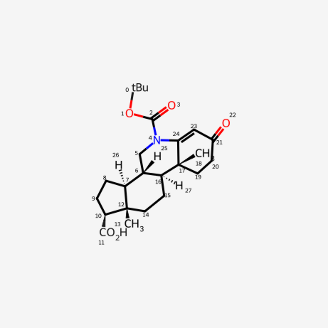 CC(C)(C)OC(=O)N1C[C@H]2[C@@H]3CC[C@H](C(=O)O)[C@@]3(C)CC[C@@H]2[C@@]2(C)CCC(=O)C=C12